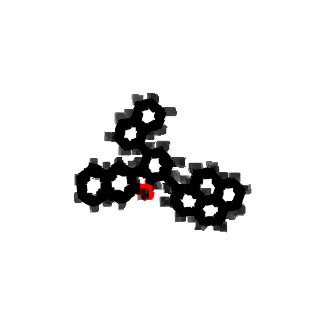 c1ccc2cc3c(cc2c1)oc1c(-c2ccc4ccc5cccc6ccc2c4c56)ccc(-c2cccc4ccccc24)c13